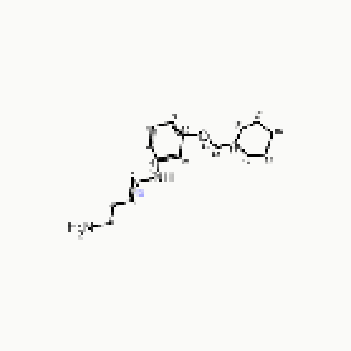 NCC/C=N/Nc1cccc(OCC2CCCCC2)c1